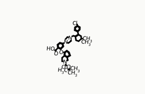 CC1(C)CCC(CN2CCN(c3ccc(C(=O)O)c(Oc4cccc5c4CCN(C(=O)OC(C)(C)C)C5)c3)CC2)=C(c2ccc(Cl)cc2)C1